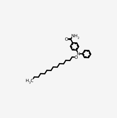 CCCCCCCCCCCCCCON(c1ccccc1)c1ccc(C(N)=O)cc1